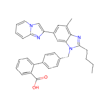 CCCCc1nc2c(C)cc(-c3cn4ccccc4n3)cc2n1Cc1ccc(-c2ccccc2C(=O)O)cc1